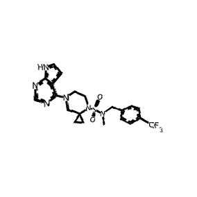 CN(Cc1ccc(C(F)(F)F)cc1)S(=O)(=O)N1CCN(c2ncnc3[nH]ccc23)CC12CC2